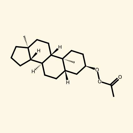 CC(=O)OO[C@@H]1CC[C@@]2(C)[C@@H](CC[C@H]3[C@@H]4CCC[C@@]4(C)CC[C@@H]32)C1